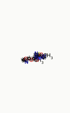 Cc1cc(Oc2cccc(COc3ccccc3C#N)c2)ccc1N1C(=O)Nc2c(C(=O)NC3CCCN(C)C3)sc3nccc1c23